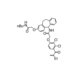 C=C(CC)C(=O)c1ccc(OCC(=O)NC2c3ccccc3CCc3cc(OCC(=O)NCCCC)ccc32)c(Cl)c1Cl